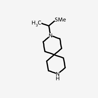 CSC(C)N1CCC2(CCNCC2)CC1